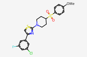 COc1ccc(S(=O)(=O)C2CCN(c3nc(-c4cc(F)cc(Cl)c4)cs3)CC2)cc1